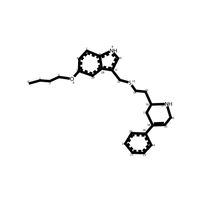 CCCCOc1ccc2[nH]cc(CSCCC3CC(c4ccccc4)=CCN3)c2c1